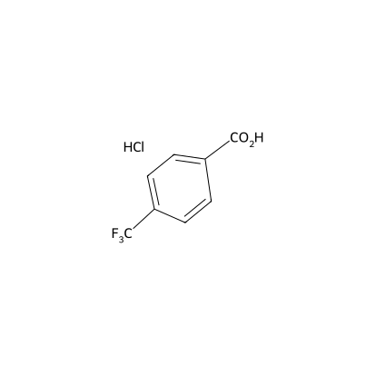 Cl.O=C(O)c1ccc(C(F)(F)F)cc1